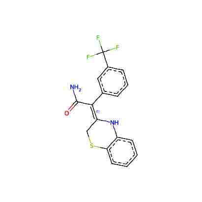 NC(=O)/C(=C1\CSc2ccccc2N1)c1cccc(C(F)(F)F)c1